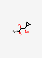 CC(=O)[C@@H](O)[C@H](O)C1CC1